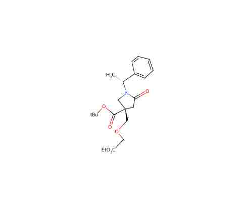 CCOC(=O)COC[C@]1(C(=O)OC(C)(C)C)CC(=O)N([C@H](C)c2ccccc2)C1